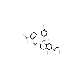 NC(=O)[C@H]1C2CCC(O2)[C@H]1NC(=O)C[C@@H]1CCc2cc(C(O)(CF)C(F)(F)F)ccc2N1S(=O)(=O)c1ccc(F)cc1